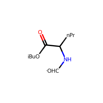 CCCC(N[C]=O)C(=O)OCC(C)C